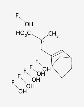 CC(=CC1=CC2CCC1C2)C(=O)O.OF.OF.OF.OF.OF.OF